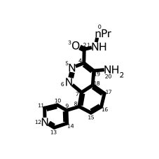 CCCNC(=O)c1nnc2c(-c3ccncc3)cccc2c1N